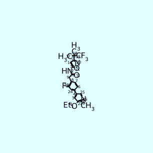 CCOc1cc(-c2ccc(CC(=O)Nc3cc(C(C)(C)C(F)(F)F)no3)c(F)c2)cnc1C